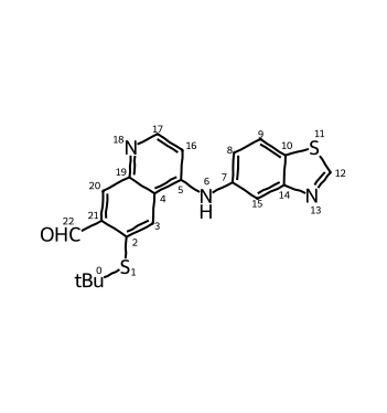 CC(C)(C)Sc1cc2c(Nc3ccc4scnc4c3)ccnc2cc1C=O